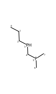 CCCPCP(C)C